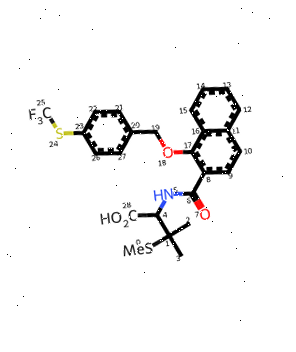 CSC(C)(C)C(NC(=O)c1ccc2ccccc2c1OCc1ccc(SC(F)(F)F)cc1)C(=O)O